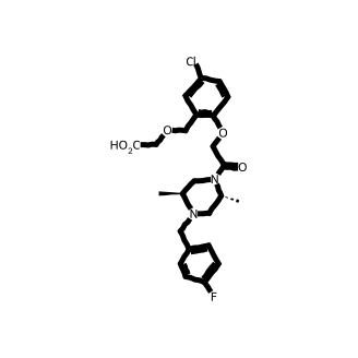 C[C@@H]1CN(Cc2ccc(F)cc2)[C@@H](C)CN1C(=O)COc1ccc(Cl)cc1COCC(=O)O